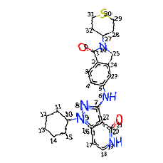 O=C1c2ccc(Nc3nn(C4CCCCC4)c4cc[nH]c(=O)c34)cc2CN1C1CCSCC1